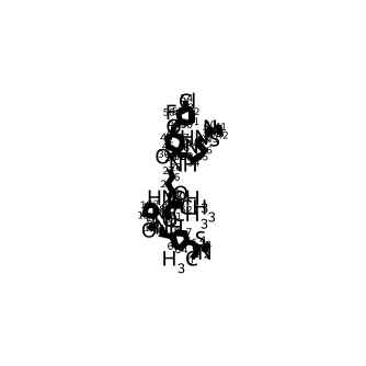 Cc1ncsc1-c1ccc(CNC(=O)[C@@H]2CCCN2C(=O)[C@@H](NC(=O)CCCNC(=O)C2(Cc3cccc(Nc4nccs4)n3)CCC(Oc3cccc(Cl)c3F)CC2)C(C)(C)C)cc1